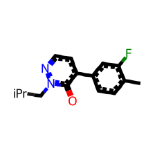 Cc1ccc(-c2ccnn(CC(C)C)c2=O)cc1F